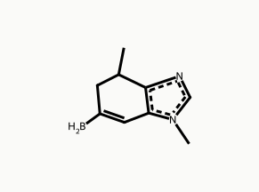 BC1=Cc2c(ncn2C)C(C)C1